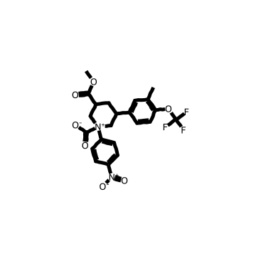 COC(=O)C1CC(c2ccc(OC(F)(F)F)c(C)c2)C[N+](C(=O)[O-])(c2ccc([N+](=O)[O-])cc2)C1